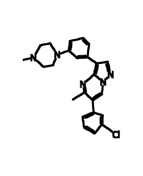 Cc1nc2c(-c3cccc(N4CCN(C)CC4)c3)cnn2cc1-c1cccc(Cl)c1